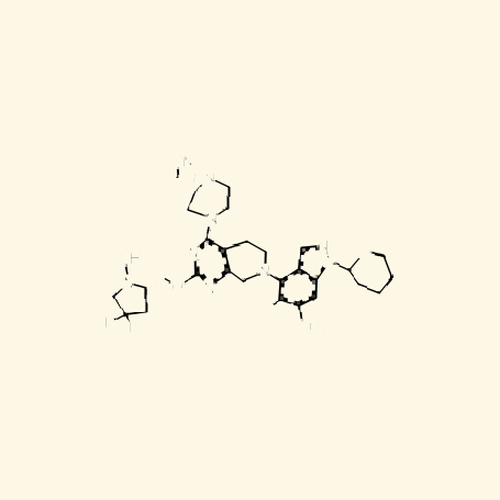 Cc1cc2c(cnn2C2CCCCO2)c(N2CCc3c(nc(OC[C@@H]4CC(F)(F)CN4C)nc3N3CCN[C@@H](CC#N)C3)C2)c1C